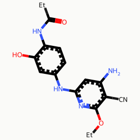 CCOc1nc(Nc2ccc(NC(=O)CC)c(O)c2)cc(N)c1C#N